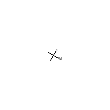 CC[C](C)(C)[Pb]